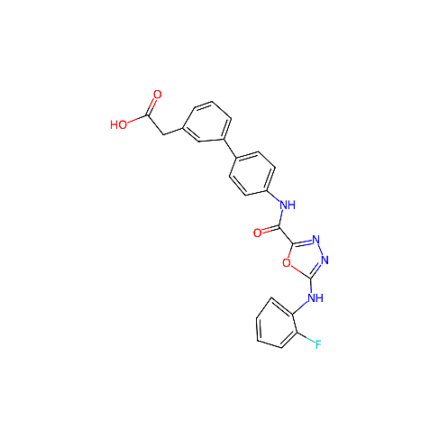 O=C(O)Cc1cccc(-c2ccc(NC(=O)c3nnc(Nc4ccccc4F)o3)cc2)c1